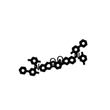 Cc1ccc(C)c(N(c2ccc3c(c2)=CC2Oc4c(ccc5c4oc4cc6cc(N(c7cc(C)ccc7C)c7cc(-c8ccccc8)ccc7C)ccc6cc45)C2C=3)c2cc(-c3ccccc3)ccc2C)c1